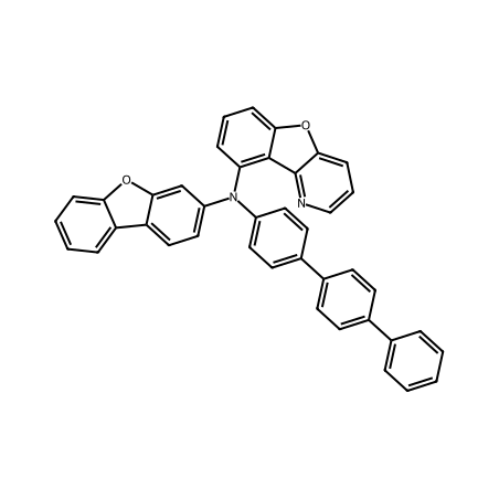 c1ccc(-c2ccc(-c3ccc(N(c4ccc5c(c4)oc4ccccc45)c4cccc5oc6cccnc6c45)cc3)cc2)cc1